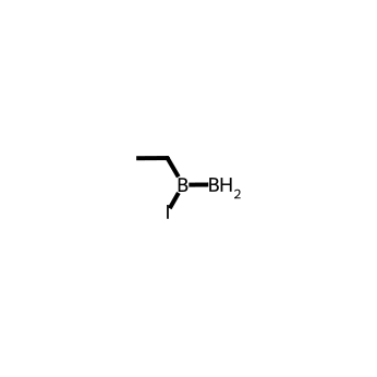 BB(I)CC